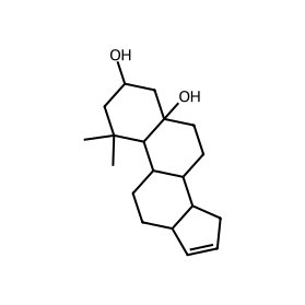 CC1(C)CC(O)CC2(O)CCC3C4CC=CC4CCC3C12